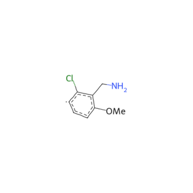 COc1cc[c]c(Cl)c1CN